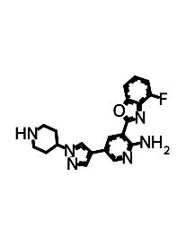 Nc1ncc(-c2cnn(C3CCNCC3)c2)cc1-c1nc2c(F)cccc2o1